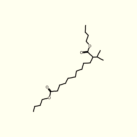 CCCCOC(=O)CCCCCCCCCC(C(=O)OCCCC)C(C)C